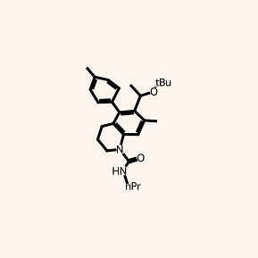 CCCNC(=O)N1CCCc2c1cc(C)c(C(C)OC(C)(C)C)c2-c1ccc(C)cc1